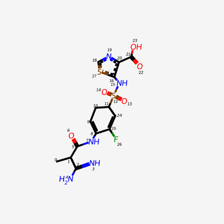 CC(C(=N)N)C(=O)NC1=CCC(S(=O)(=O)Nc2scnc2C(=O)O)C=C1F